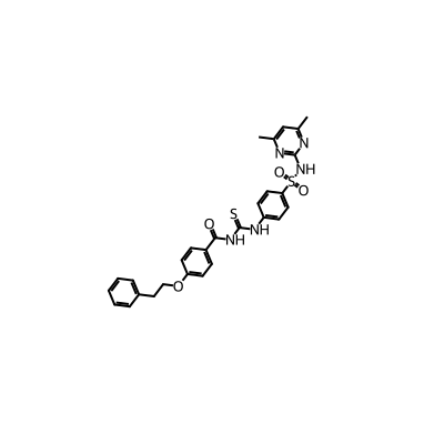 Cc1cc(C)nc(NS(=O)(=O)c2ccc(NC(=S)NC(=O)c3ccc(OCCc4ccccc4)cc3)cc2)n1